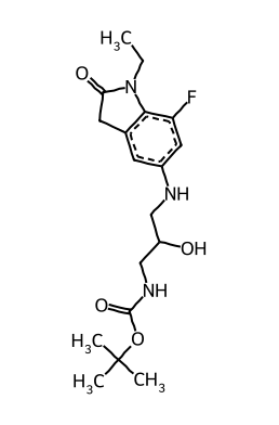 CCN1C(=O)Cc2cc(NCC(O)CNC(=O)OC(C)(C)C)cc(F)c21